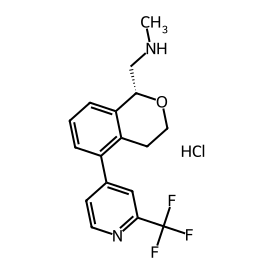 CNC[C@@H]1OCCc2c(-c3ccnc(C(F)(F)F)c3)cccc21.Cl